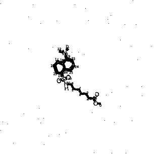 COC(=O)CCCCCCNS(=O)(=O)c1cccc2c(N(C)C)cccc12